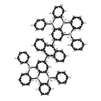 c1ccc(N2c3ccccc3B3c4ccccc4N(c4ccccc4)c4cc(-c5c6ccccc6c(-c6cc7c8c(c6)N(c6ccccc6)c6ccccc6B8c6ccccc6N7c6ccccc6)c6ccccc56)cc2c43)cc1